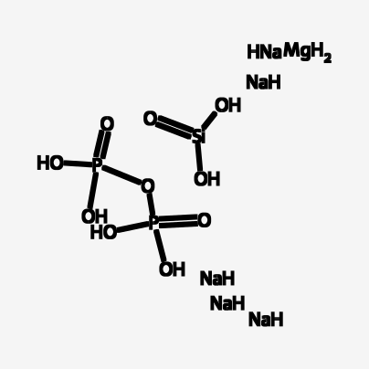 O=P(O)(O)OP(=O)(O)O.O=[Si](O)O.[MgH2].[NaH].[NaH].[NaH].[NaH].[NaH]